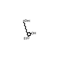 CCCCCCCCCCCCCCCCCc1cc(O)cc(OCC)c1